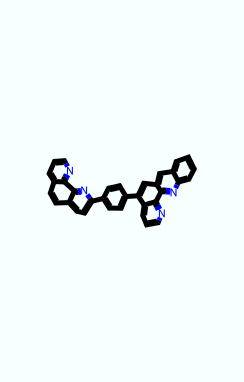 c1ccc2nc3c(cc(-c4ccc(-c5ccc6ccc7cccnc7c6n5)cc4)c4cccnc43)cc2c1